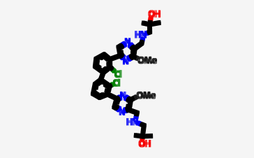 COc1nc(-c2cccc(-c3cccc(-c4cnc(CNCC(C)(C)O)c(OC)n4)c3Cl)c2Cl)cnc1CNCC(C)(C)O